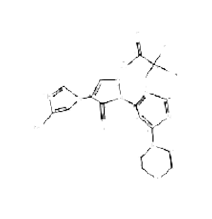 N#Cc1cn(-c2c[nH]n(-c3cc(N4CCOCC4)ncn3)c2=O)cn1.O=C(O)C(F)(F)F